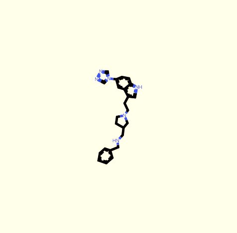 c1ccc(CNCC2CCN(CCc3c[nH]c4ccc(-n5cnnc5)cc34)C2)cc1